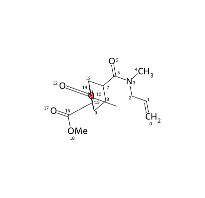 C=CCN(C)C(=O)C1CC2OC(=O)C1C=C2C(=O)OC